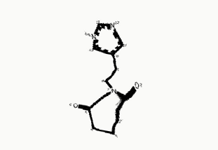 O=C1CCCC(=O)N1CCc1cncnc1